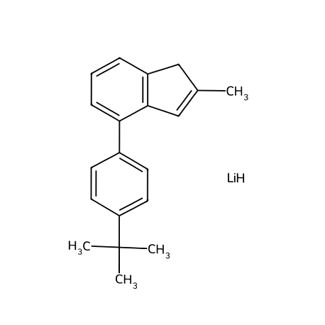 CC1=Cc2c(cccc2-c2ccc(C(C)(C)C)cc2)C1.[LiH]